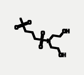 CS(=O)(=O)CCCS(=O)(=O)N(CCO)CCO